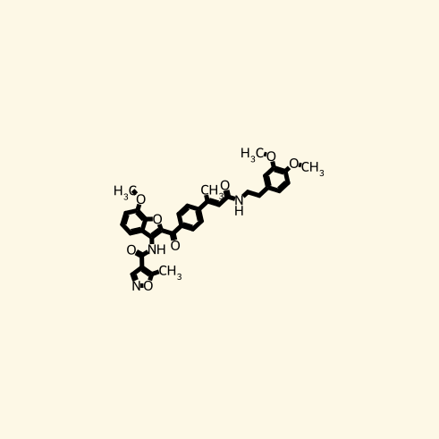 COc1ccc(CCNC(=O)/C=C(\C)c2ccc(C(=O)c3oc4c(OC)cccc4c3NC(=O)c3cnoc3C)cc2)cc1OC